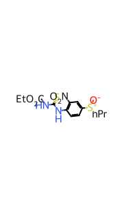 CCC[S+]([O-])c1ccc(NC(=S)NC(=O)OCC)c([N+](=O)[O-])c1